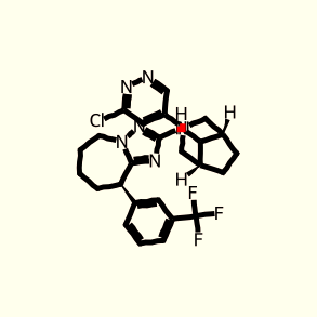 FC(F)(F)c1cccc([C@H]2CCCCn3nc(NC4[C@@H]5CC[C@H]4CN(c4cnnc(Cl)c4)C5)nc32)c1